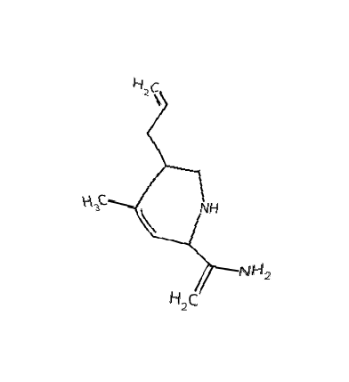 C=CCC1CNC(C(=C)N)C=C1C